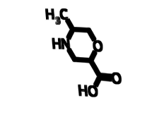 CC1COC(C(=O)O)CN1